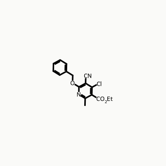 CCOC(=O)c1c(C)nc(OCc2ccccc2)c(C#N)c1Cl